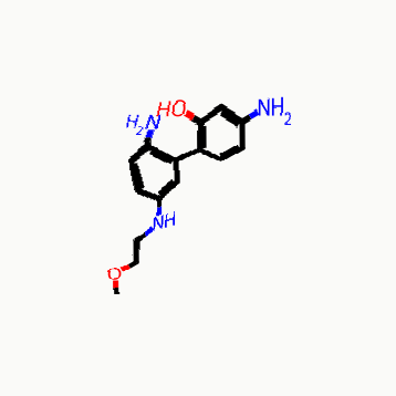 COCCNc1ccc(N)c(-c2ccc(N)cc2O)c1